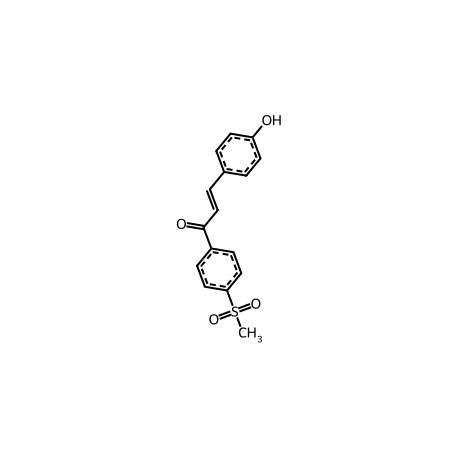 CS(=O)(=O)c1ccc(C(=O)/C=C/c2ccc(O)cc2)cc1